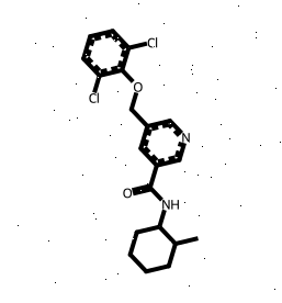 CC1CCCCC1NC(=O)c1cncc(COc2c(Cl)cccc2Cl)c1